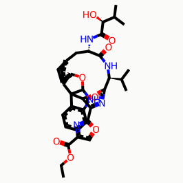 CCOC(=O)c1coc(-c2nc3oc2C24c5ccccc5NC2Oc2ccc(cc24)C[C@H](NC(=O)[C@@H](O)C(C)C)C(=O)N[C@H]3C(C)C)n1